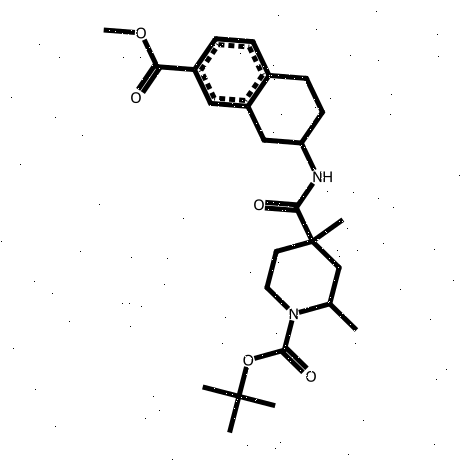 COC(=O)c1ccc2c(c1)CC(NC(=O)C1(C)CCN(C(=O)OC(C)(C)C)C(C)C1)CC2